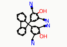 N#Cc1cc(C2(c3cc(C#N)c(O)c(C#N)c3)c3ccccc3-c3ccccc32)cc(C#N)c1O